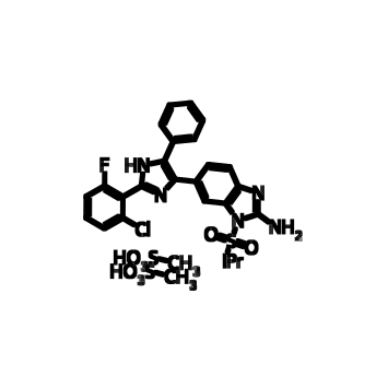 CC(C)S(=O)(=O)n1c(N)nc2ccc(-c3nc(-c4c(F)cccc4Cl)[nH]c3-c3ccccc3)cc21.CS(=O)(=O)O.CS(=O)(=O)O